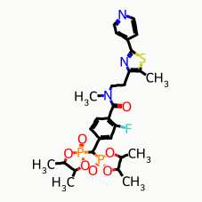 Cc1sc(-c2ccncc2)nc1CCN(C)C(=O)c1ccc(C(P2(=O)OC(C)C(C)O2)P2(=O)OC(C)C(C)O2)cc1F